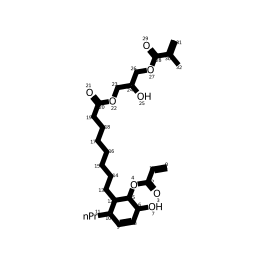 C=CC(=O)OC1C(O)C=CC(CCC)C1CCCCCCCC(=O)OCC(O)COC(=O)C(=C)C